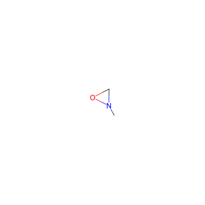 CN1CO1